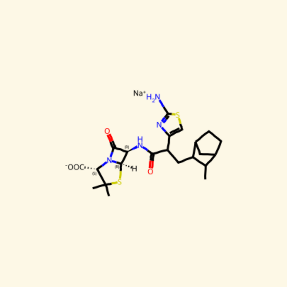 CC1C2CCC(C2)C1CC(C(=O)N[C@@H]1C(=O)N2[C@@H]1SC(C)(C)[C@@H]2C(=O)[O-])c1csc(N)n1.[Na+]